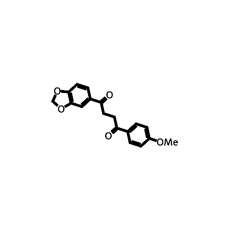 COc1ccc(C(=O)CCC(=O)c2ccc3c(c2)OCO3)cc1